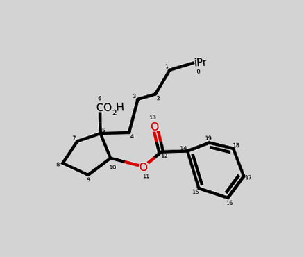 CC(C)CCCCC1(C(=O)O)CCCC1OC(=O)c1ccccc1